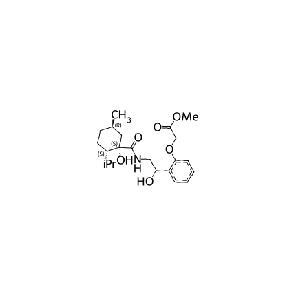 COC(=O)COc1ccccc1C(O)CNC(=O)[C@]1(O)C[C@H](C)CC[C@H]1C(C)C